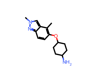 Cc1c(OC2CCC(N)CC2)ccc2nn(C)cc12